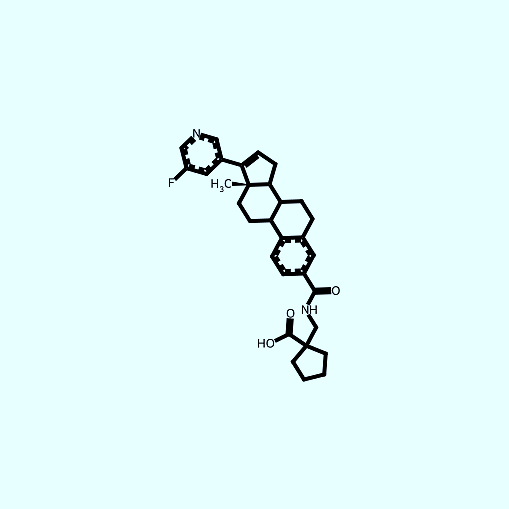 C[C@]12CCC3c4ccc(C(=O)NCC5(C(=O)O)CCCC5)cc4CCC3C1CC=C2c1cncc(F)c1